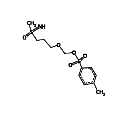 Cc1ccc(S(=O)(=O)OCOCCCS(C)(=N)=O)cc1